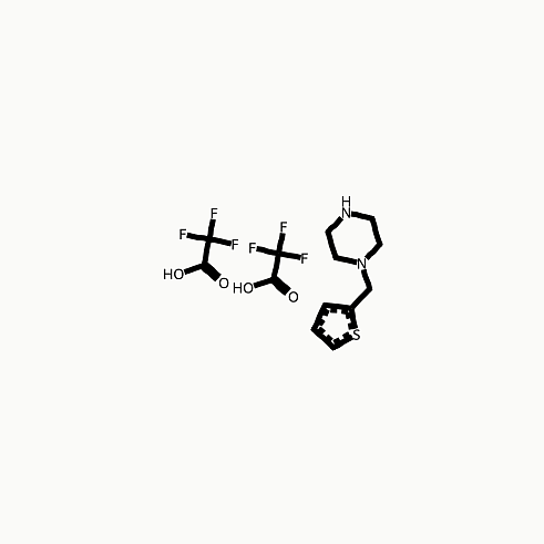 O=C(O)C(F)(F)F.O=C(O)C(F)(F)F.c1csc(CN2CCNCC2)c1